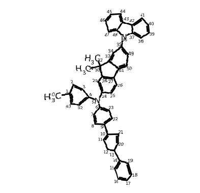 Cc1ccc(N(c2ccc(C3=CCC(c4ccccc4)C=C3)cc2)c2ccc3c(c2)C(C)(C)c2cc(-n4c5ccccc5c5ccccc54)ccc2-3)cc1